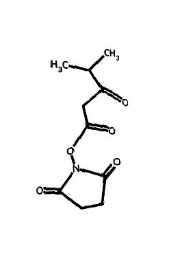 CC(C)C(=O)CC(=O)ON1C(=O)CCC1=O